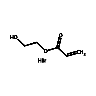 Br.C=CC(=O)OCCO